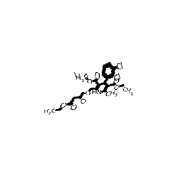 CCOC(=O)CC(=O)COCC1=C(C(=O)OC)C(c2cccc(Cl)c2Cl)C(C(=O)OCC)=C(C)N1